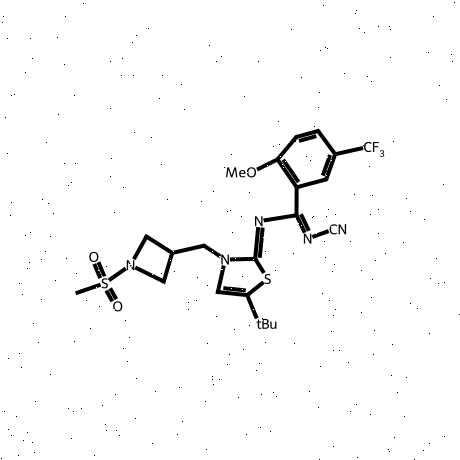 COc1ccc(C(F)(F)F)cc1C(/N=c1\sc(C(C)(C)C)cn1CC1CN(S(C)(=O)=O)C1)=N\C#N